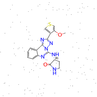 COc1cscc1-c1nc2c3ccccc3nc(N[C@@H]3CCNC3=O)n2n1